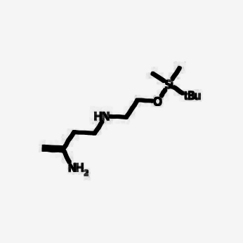 C=C(N)CCNCCO[Si](C)(C)C(C)(C)C